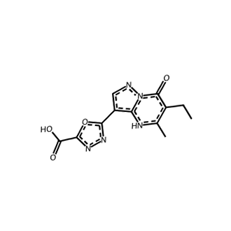 CCc1c(C)[nH]c2c(-c3nnc(C(=O)O)o3)cnn2c1=O